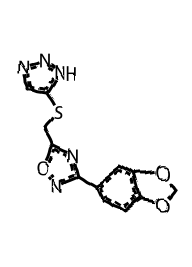 c1cc2c(cc1-c1noc(CSc3cnn[nH]3)n1)OCO2